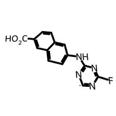 O=C(O)c1ccc2cc(Nc3n[c]nc(F)n3)ccc2c1